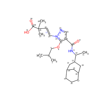 CC(C)COc1c(C(=O)NC(C)C2CC3CCCC(C3)C2)cnn1/C=C/C(C)(C)C(=O)O